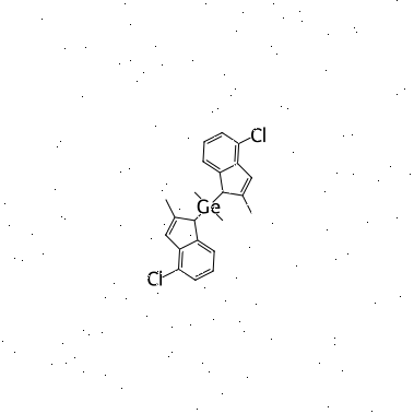 CC1=Cc2c(Cl)cccc2[CH]1[Ge]([CH3])([CH3])[CH]1C(C)=Cc2c(Cl)cccc21